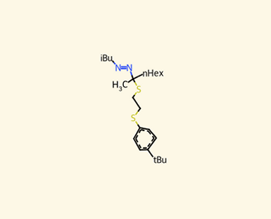 CCCCCCC(C)(N=NC(C)CC)SCCSc1ccc(C(C)(C)C)cc1